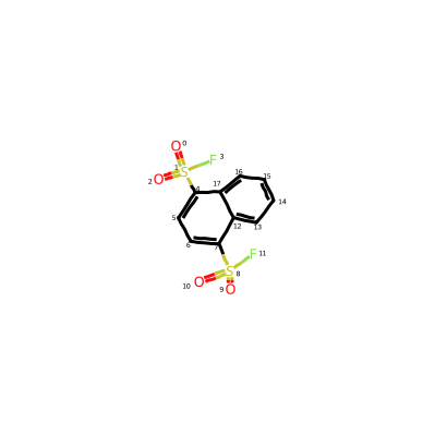 O=S(=O)(F)c1ccc(S(=O)(=O)F)c2ccccc12